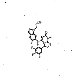 Cc1cc2cnn(CCO)c2cc1NC1=NC(=O)N(C)C2=NCC(c3cc(F)c(F)c(F)c3)N12